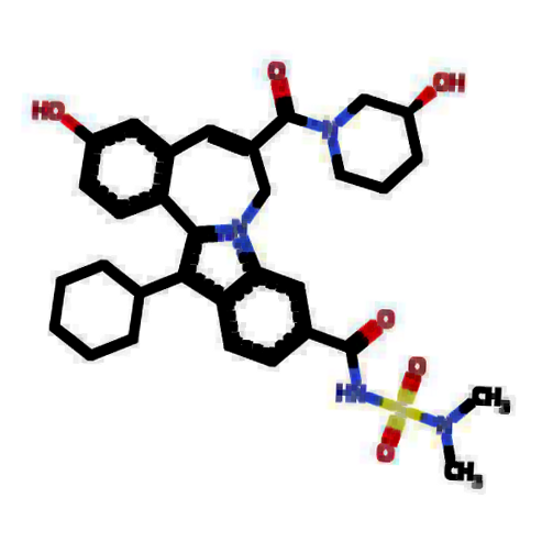 CN(C)S(=O)(=O)NC(=O)c1ccc2c(C3CCCCC3)c3n(c2c1)CC(C(=O)N1CCC[C@H](O)C1)=Cc1cc(O)ccc1-3